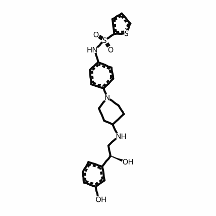 O=S(=O)(Nc1ccc(N2CCC(NC[C@@H](O)c3cccc(O)c3)CC2)cc1)c1cccs1